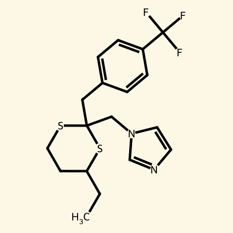 CCC1CCSC(Cc2ccc(C(F)(F)F)cc2)(Cn2ccnc2)S1